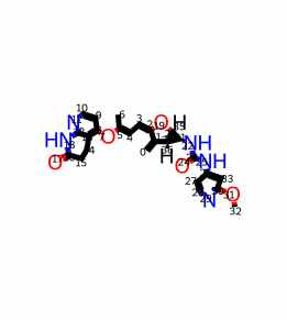 C=C1/C(=C\C=C(/C)Oc2ccnc3c2CCC(=O)N3)O[C@@H]2[C@@H](NC(=O)Nc3ccnc(OC)c3)[C@H]12